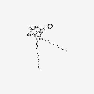 CCCCCCCCCCCCCCN(C(=O)NCCCCCCCCCCCC)[C@@H]1O[C@H](CO)[C@H](O)[C@H](O)[C@@H]1NC(=O)OCc1ccccc1